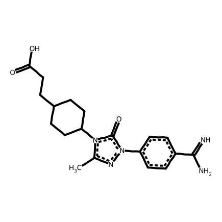 Cc1nn(-c2ccc(C(=N)N)cc2)c(=O)n1C1CCC(CCC(=O)O)CC1